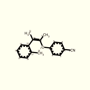 C/C(Oc1ccc(C#N)cc1)=C(\C)c1ccccc1C